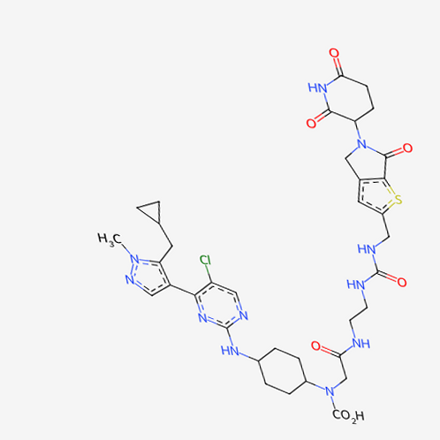 Cn1ncc(-c2nc(NC3CCC(N(CC(=O)NCCNC(=O)NCc4cc5c(s4)C(=O)N(C4CCC(=O)NC4=O)C5)C(=O)O)CC3)ncc2Cl)c1CC1CC1